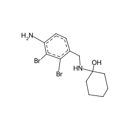 Nc1ccc(CNC2(O)CCCCC2)c(Br)c1Br